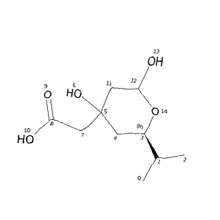 CC(C)[C@H]1CC(O)(CC(=O)O)CC(O)O1